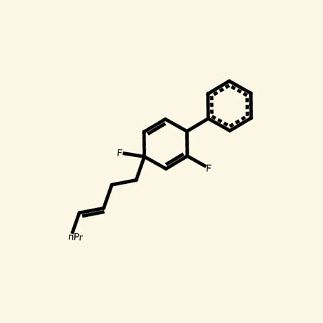 CCC/C=C/CCC1(F)C=CC(c2ccccc2)C(F)=C1